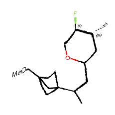 COC12CC(C(C)CC3C[C@@H](C)[C@H](F)CO3)(C1)C2